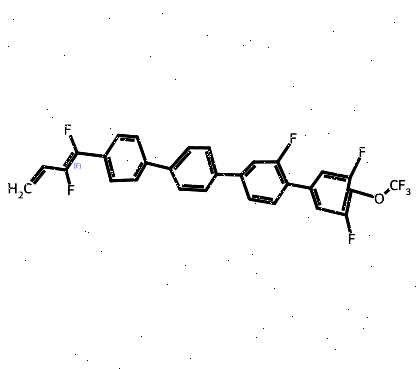 C=C/C(F)=C(\F)c1ccc(-c2ccc(-c3ccc(-c4cc(F)c(OC(F)(F)F)c(F)c4)c(F)c3)cc2)cc1